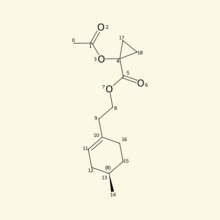 CC(=O)OC1(C(=O)OCCC2=CC[C@H](C)CC2)CC1